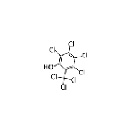 Oc1c(Cl)c(Cl)c(Cl)c(Cl)c1C(Cl)(Cl)Cl